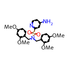 COc1ccc(CN(Cc2ccc(OC)cc2OC)S(=O)(=O)c2cc(N)ccn2)c(OC)c1